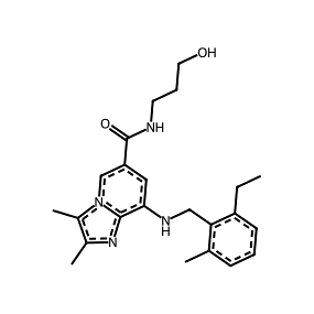 CCc1cccc(C)c1CNc1cc(C(=O)NCCCO)cn2c(C)c(C)nc12